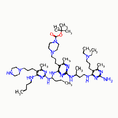 CCCCNc1nc(NC(CCC)Nc2nc(NC(C)CCNc3nc(N)nc(C)c3CCCN(CC)CC)nc(C)c2CCCN2CCN(C(=O)OC(C)(C)C)CC2)nc(C)c1CCCN1CCNCC1